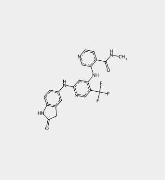 CNC(=O)c1ccncc1Nc1cc(Nc2ccc3c(c2)CC(=O)N3)ncc1C(F)(F)F